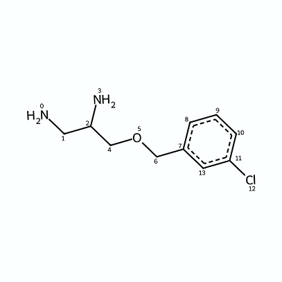 NCC(N)COCc1cccc(Cl)c1